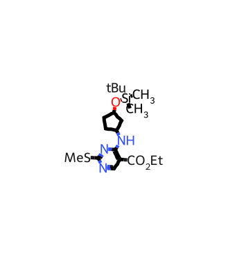 CCOC(=O)c1cnc(SC)nc1NC1CCC(O[Si](C)(C)C(C)(C)C)C1